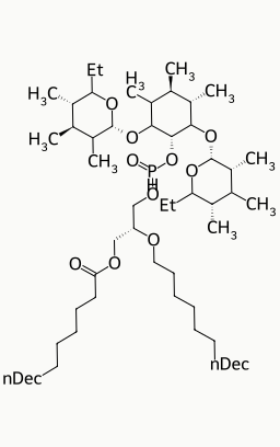 CCCCCCCCCCCCCCCCO[C@H](COC(=O)CCCCCCCCCCCCCCC)CO[PH](=O)O[C@@H]1C(O[C@H]2OC(CC)[C@@H](C)[C@H](C)C2C)C(C)[C@@H](C)[C@H](C)C1O[C@H]1OC(CC)[C@@H](C)C(C)[C@H]1C